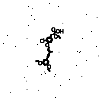 CCOc1cc(C#CC(C)=CCOc2ccc(C[C@H](OCC)C(=O)O)cc2Cl)cc(OCC)c1